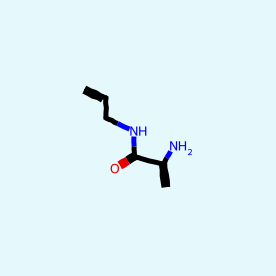 C=CCNC(=O)C(=C)N